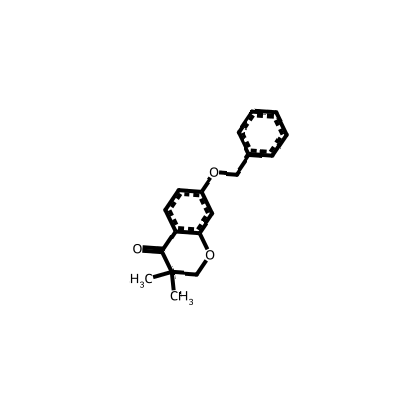 CC1(C)COc2cc(OCc3ccccc3)ccc2C1=O